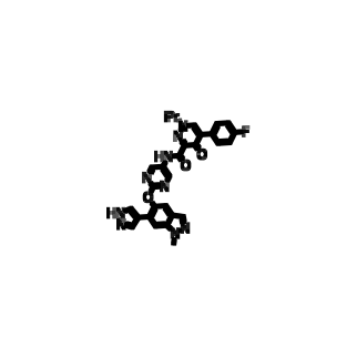 CC(C)n1cc(-c2ccc(F)cc2)c(=O)c(C(=O)Nc2cnc(Oc3cc4cnn(C)c4cc3-c3cn[nH]c3)nc2)n1